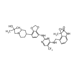 CC(C)(O)CN1CCC(c2ccc(Nc3ncc(C(F)(F)F)c(NCc4cccc5c4C(C)(C)C(=O)N5)n3)c3c2OCO3)CC1